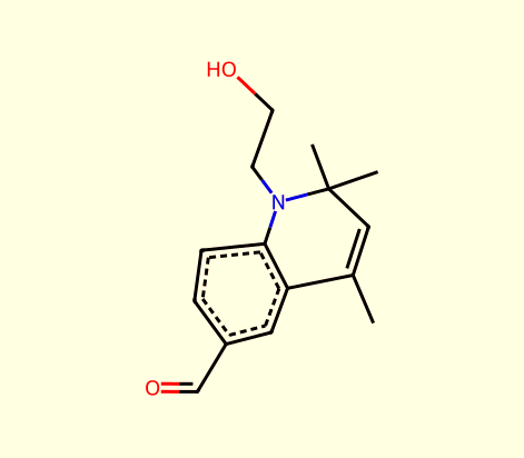 CC1=CC(C)(C)N(CCO)c2ccc(C=O)cc21